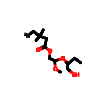 [2H]CC(C)(C)CC(=O)OCC(OC)OC(CC)CO